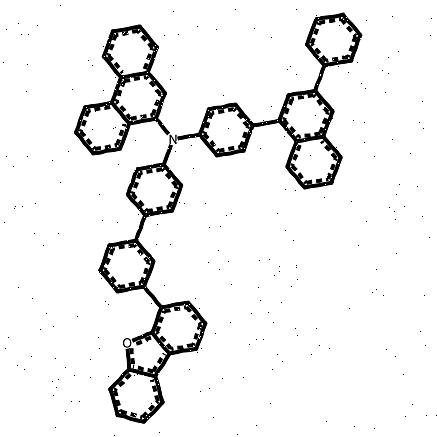 c1ccc(-c2cc(-c3ccc(N(c4ccc(-c5cccc(-c6cccc7c6oc6ccccc67)c5)cc4)c4cc5ccccc5c5ccccc45)cc3)c3ccccc3c2)cc1